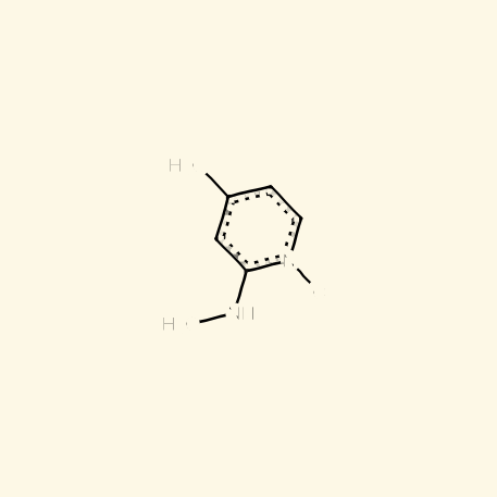 CNc1cc(C)cc[n+]1[O-]